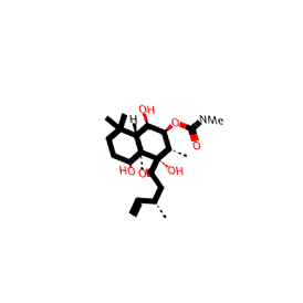 C=C[C@@H](C)CC(=O)[C@]1(O)[C@@H](C)[C@H](OC(=O)NC)[C@H](O)[C@H]2C(C)(C)CC[C@@H](O)[C@@]21C